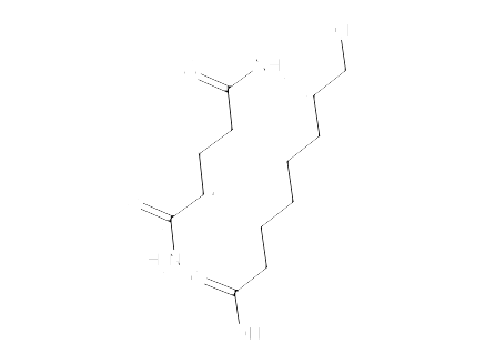 CCCCCCCCC(=O)O.NC(=O)CCCC(N)=O